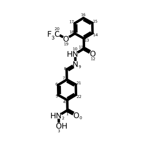 O=C(NO)c1ccc(C=NNC(=O)c2ccccc2OC(F)(F)F)cc1